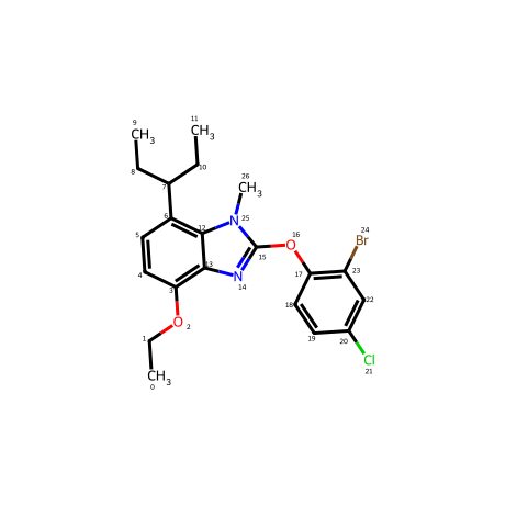 CCOc1ccc(C(CC)CC)c2c1nc(Oc1ccc(Cl)cc1Br)n2C